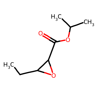 CCC1OC1C(=O)OC(C)C